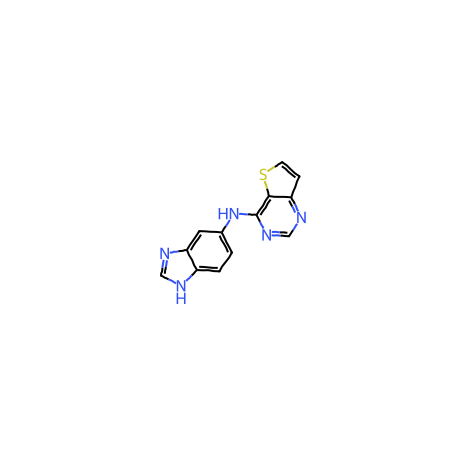 c1nc(Nc2ccc3[nH]cnc3c2)c2sccc2n1